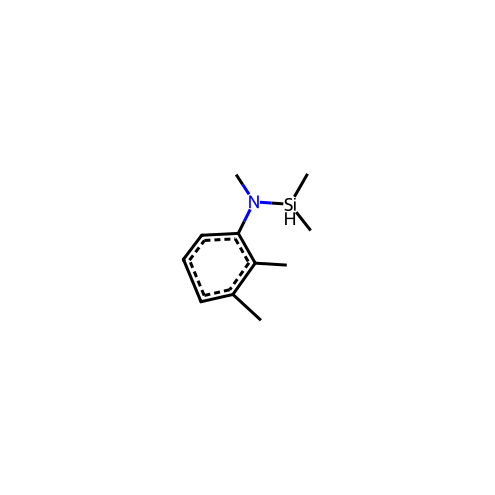 Cc1cccc(N(C)[SiH](C)C)c1C